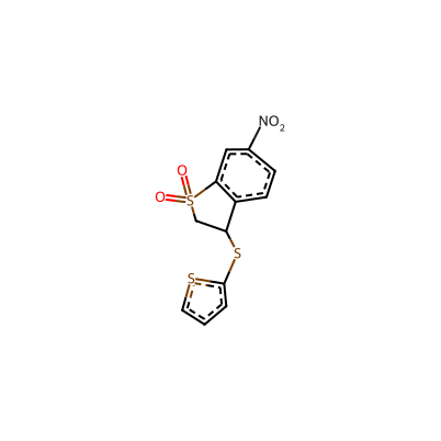 O=[N+]([O-])c1ccc2c(c1)S(=O)(=O)CC2Sc1cccs1